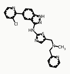 CN(Cc1ccccn1)Cc1cnc(Nc2n[nH]c3ccc(-c4ncccc4Cl)cc23)s1